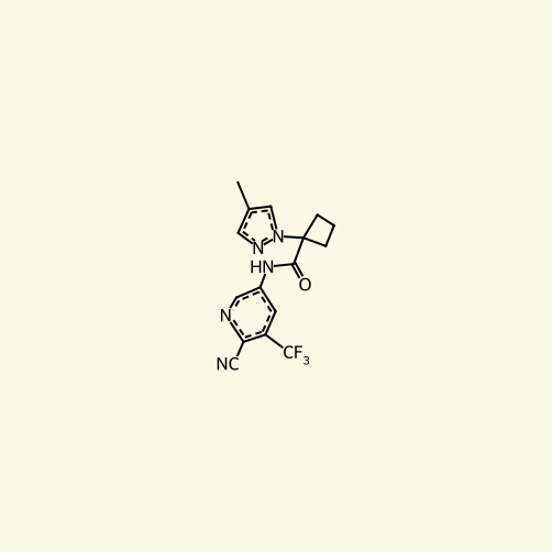 Cc1cnn(C2(C(=O)Nc3cnc(C#N)c(C(F)(F)F)c3)CCC2)c1